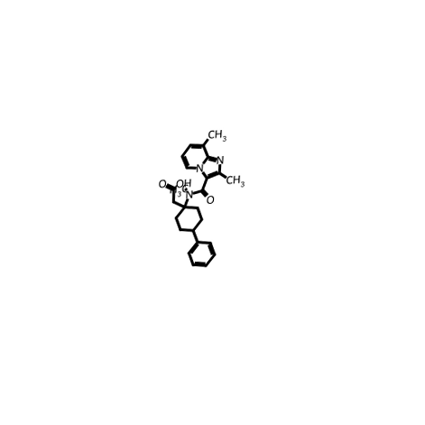 Cc1nc2c(C)cccn2c1C(=O)N(C)C1(CC(=O)O)CCC(c2ccccc2)CC1